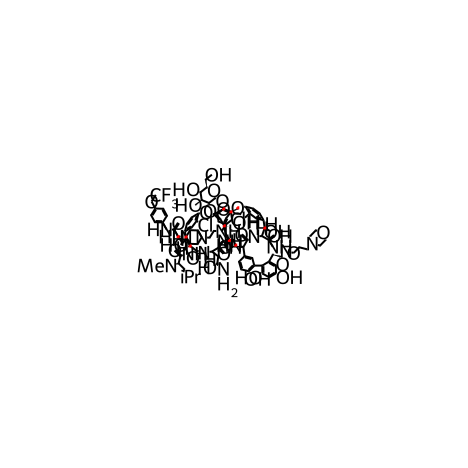 CN[C@H](CC(C)C)C(=O)N[C@H]1C(=O)N[C@@H](CC(N)=O)C(=O)N[C@H]2C(=O)N[C@H]3C(=O)N[C@H](C(=O)N[C@@H](C(=O)NOCCN4CCOCC4)c4cc(O)cc(O)c4-c4cc3ccc4O)[C@H](O)c3ccc(c(Cl)c3)Oc3cc2cc(c3O[C@@H]2O[C@H](CO)[C@@H](O)[C@H](O)[C@H]2O[C@H]2C[C@](C)(NCCN3CCN(NC(=O)Nc4ccc(OC(F)(F)F)cc4)CC3)[C@H](O)[C@H](C)O2)Oc2ccc(cc2Cl)[C@H]1O